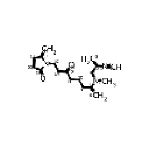 C#[N+]C(=C)CN(C)C(=C)CCCC(=O)CCN1C(=C)C=CC1=O